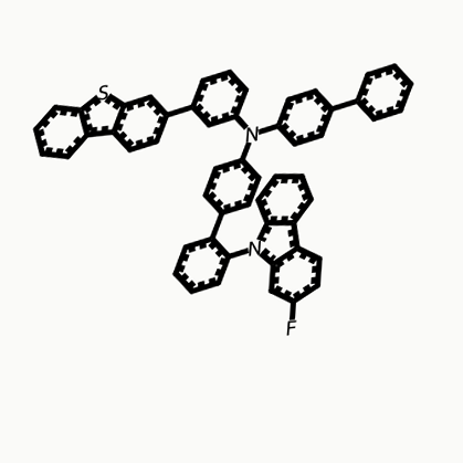 Fc1ccc2c3ccccc3n(-c3ccccc3-c3ccc(N(c4ccc(-c5ccccc5)cc4)c4cccc(-c5ccc6c(c5)sc5ccccc56)c4)cc3)c2c1